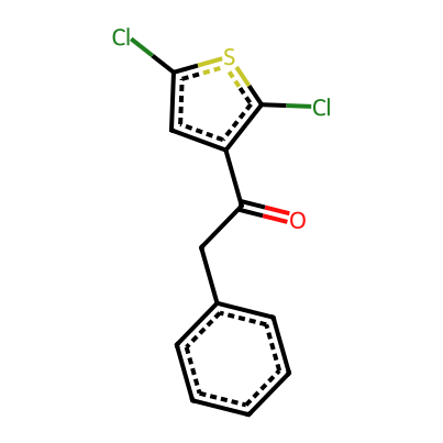 O=C(Cc1ccccc1)c1cc(Cl)sc1Cl